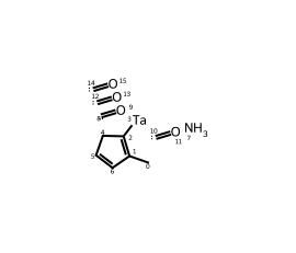 CC1=[C]([Ta])CC=C1.N.[C]=O.[C]=O.[C]=O.[C]=O